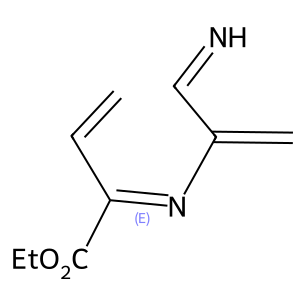 C=C/C(=N\C(=C)C=N)C(=O)OCC